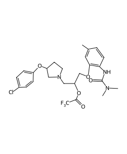 Cc1ccc(NC(=O)N(C)C)c(OCC(CN2CCC(Oc3ccc(Cl)cc3)C2)OC(=O)C(F)(F)F)c1